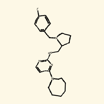 Fc1ccc(CN2CCCC2CNc2nccc(N3CCCCCC3)n2)cc1